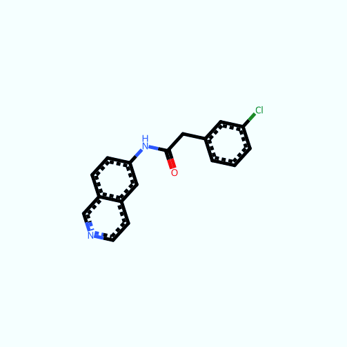 O=C(Cc1cccc(Cl)c1)Nc1ccc2cnccc2c1